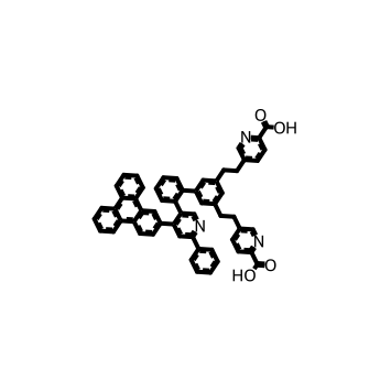 O=C(O)c1ccc(CCc2cc(CCc3ccc(C(=O)O)nc3)cc(-c3ccccc3-c3cnc(-c4ccccc4)cc3-c3ccc4c5ccccc5c5ccccc5c4c3)c2)cn1